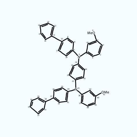 COc1cccc(N(c2ccc(-c3ccccc3)cc2)c2ccc(N(c3ccc(-c4ccccc4)cc3)c3cccc(OC)c3)cc2)c1